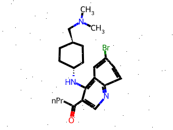 CCCC(=O)c1cnc2ccc(Br)cc2c1N[C@H]1CC[C@H](CN(C)C)CC1